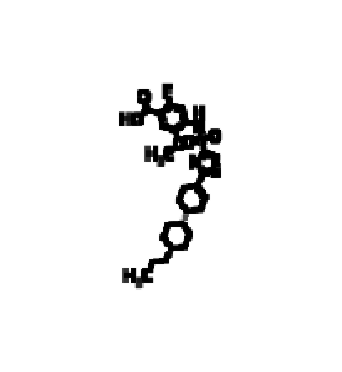 CCC[C@H]1CC[C@H](C2CC=C(c3nc(S(=O)(=O)Nc4cc(F)c(C(=O)O)cc4OC)cs3)CC2)CC1